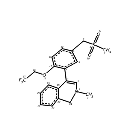 CN1C=C(c2cc(CS(C)(=O)=O)ccc2OCC(F)(F)F)c2ccccc2C1